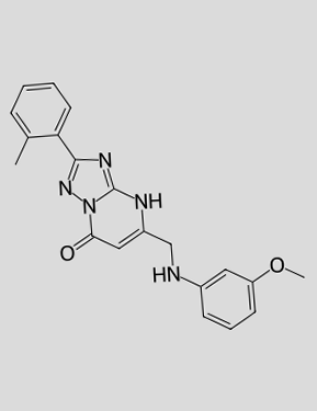 COc1cccc(NCc2cc(=O)n3nc(-c4ccccc4C)nc3[nH]2)c1